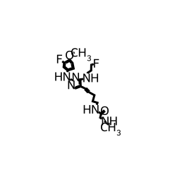 CNCC(=O)NCCCC#Cc1cnc(Nc2ccc(OC)c(F)c2)nc1NCCCF